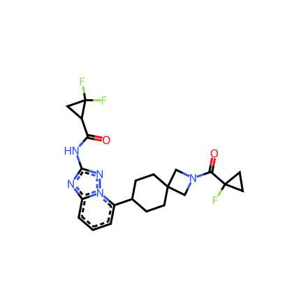 O=C(Nc1nc2cccc(C3CCC4(CC3)CN(C(=O)C3(F)CC3)C4)n2n1)C1CC1(F)F